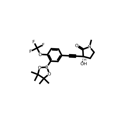 CN1CC[C@@](O)(C#Cc2ccc(OC(F)(F)F)c(B3OC(C)(C)C(C)(C)O3)c2)C1=O